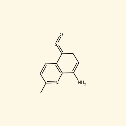 Cc1ccc2c(n1)C(N)=CCC2=S=O